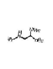 CCCCC(CNC(C)C)NC